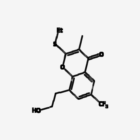 CCSc1oc2c(CCO)cc(C(F)(F)F)cc2c(=O)c1C